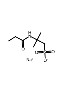 CCC(=O)NC(C)(C)CS(=O)(=O)[O-].[Na+]